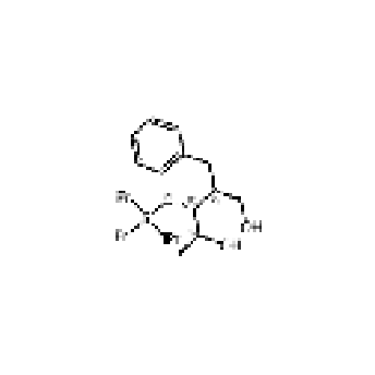 CC(C)[Si](O[C@H]([C@H](CO)Cc1ccccc1)[C@H](C)O)(C(C)C)C(C)C